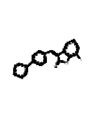 O=C1Nc2c(F)cccc2C1=Cc1ccc(-c2ccccc2)cc1